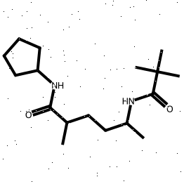 CC(CCC(C)C(=O)NC1CCCC1)NC(=O)C(C)(C)C